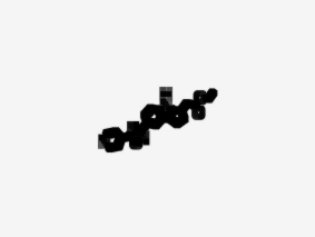 CCOC(=O)CC1CCc2c1[nH]c1ccc(-c3noc(-c4ccncc4)n3)cc21